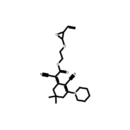 C=CC1OC1OCCOC(=O)/C(C#N)=C1/CC(C)(C)CC(N2CCCCC2)=C1C#N